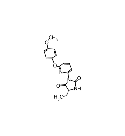 CC[C@H]1NC(=O)N(c2cccc(Oc3ccc(OC)cc3)n2)C1=O